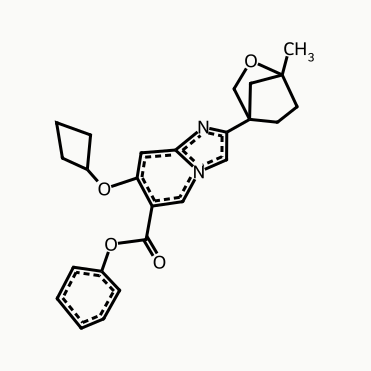 CC12CCC(c3cn4cc(C(=O)Oc5ccccc5)c(OC5CCC5)cc4n3)(CO1)C2